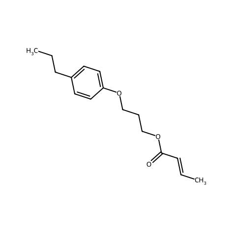 CC=CC(=O)OCCCOc1ccc(CCC)cc1